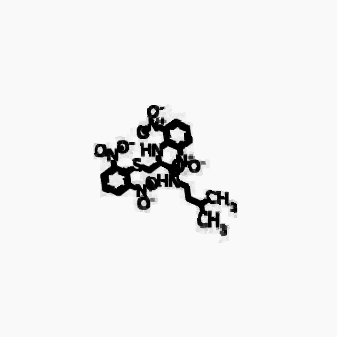 CC(C)CCNC(=O)C(CSc1c([N+](=O)[O-])cccc1[N+](=O)[O-])Nc1c([N+](=O)[O-])cccc1[N+](=O)[O-]